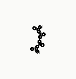 c1ccc(-n2c3ccncc3c3cc(-n4c5ccccc5c5cc(-c6ccc7c(c6)c6ccccc6n7-c6ccc7c(c6)c6cnccc6n7-c6ccccc6)ccc54)ccc32)cc1